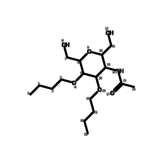 CCCCOC1C(CO)OC(CO)C(NC(C)=O)C1OCCCC